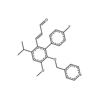 COc1cc(C(C)C)c(C=CC=O)c(-c2ccc(F)cc2)c1OCc1ccncc1